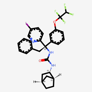 O=C(N[C@H]1C[C@@H]2CC[C@H]1C2)N[C@@](Cc1ccccc1)(c1cccc(OC(F)(F)C(F)F)c1)c1ccc(I)cn1